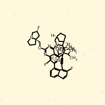 CC(C)[Si](C#Cc1c(F)ccc2cccc(-c3nc4c5c(nc(OC[C@@]67CCCN6C[C@H](F)C7)nc5c3F)N3C[C@H]5CC[C@H](C5)[C@H]3[C@@H](C)C4)c12)(C(C)C)C(C)C